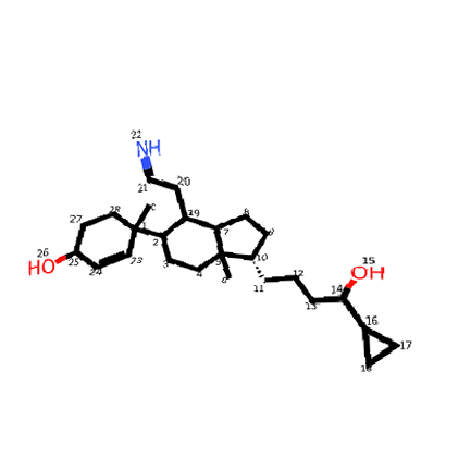 CC1(C2CCC3(C)C(CC[C@@H]3CCCC(O)C3CC3)C2CC=N)C=CC(O)CC1